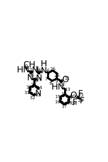 CNc1nc(NC2CCC(C(=O)NCc3ccccc3OC(F)(F)F)CC2)nc(-c2cccnc2)n1